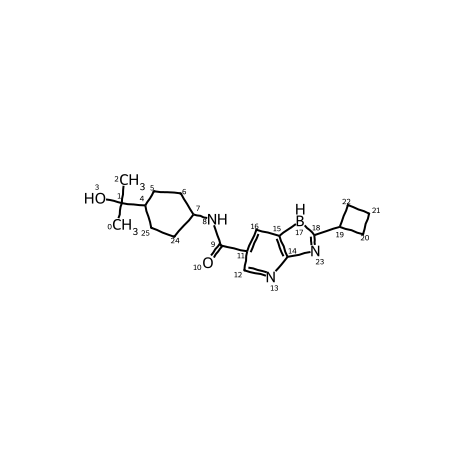 CC(C)(O)C1CCC(NC(=O)c2cnc3c(c2)BC(C2CCC2)=N3)CC1